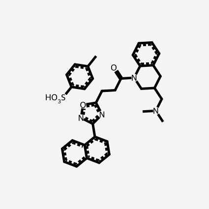 CN(C)CC1Cc2ccccc2N(C(=O)CCc2nc(-c3cccc4ccccc34)no2)C1.Cc1ccc(S(=O)(=O)O)cc1